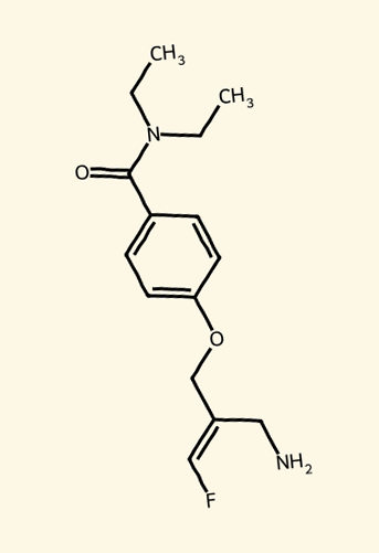 CCN(CC)C(=O)c1ccc(OC/C(=C/F)CN)cc1